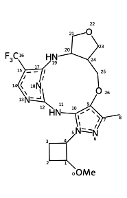 COC1CCC1n1nc(C)c2c1Nc1ncc(C(F)(F)F)c(n1)NC1COCC1CO2